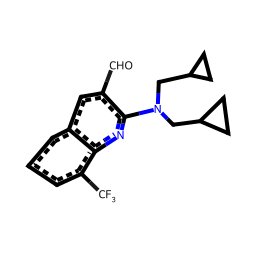 O=Cc1cc2cccc(C(F)(F)F)c2nc1N(CC1CC1)CC1CC1